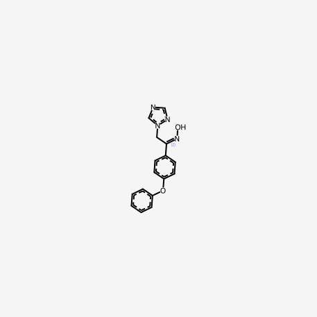 O/N=C(\Cn1cncn1)c1ccc(Oc2ccccc2)cc1